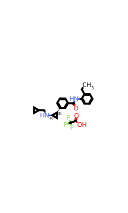 CCc1ccccc1NC(=O)c1cccc([C@@H]2C[C@H]2NCC2CC2)c1.O=C(O)C(F)(F)F